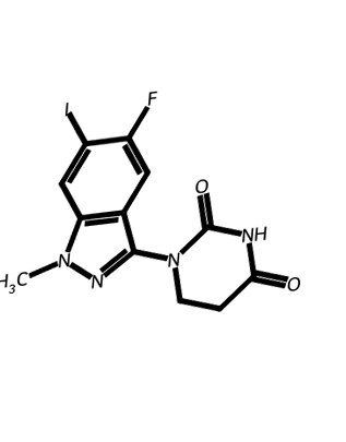 Cn1nc(N2CCC(=O)NC2=O)c2cc(F)c(I)cc21